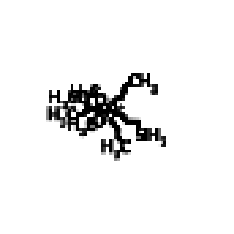 CCCC[N+](CCCC)(CCC[SiH3])C(OC)(OC)C(CC)OC